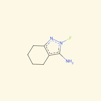 Nc1c2c(nn1F)CCCC2